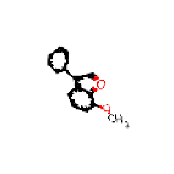 COc1cccc2c(-c3ccccc3)coc12